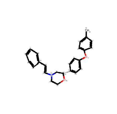 Cc1ccc(Oc2ccc([C@H]3CN(C=Cc4ccccc4)CCO3)cc2)cc1